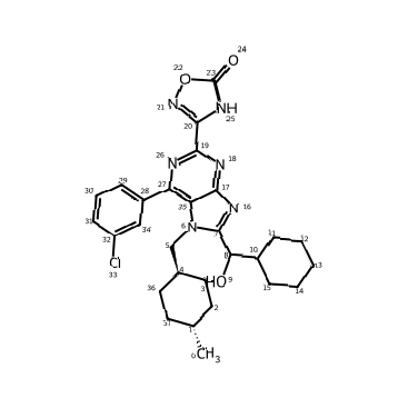 C[C@H]1CC[C@H](Cn2c(C(O)C3CCCCC3)nc3nc(-c4noc(=O)[nH]4)nc(-c4cccc(Cl)c4)c32)CC1